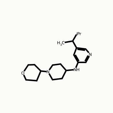 CC(C)C(C)c1cncc(NC2CCN(C3CCOCC3)CC2)c1